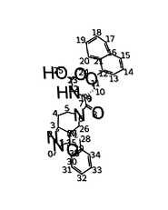 CN1N=C2CCN(C(=O)[C@@H](COc3cccc4ccccc34)NC(=O)O)C[C@@]2(Cc2ccccc2)C1=O